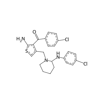 Nc1scc(CN2CCCCC2Nc2ccc(Cl)cc2)c1C(=O)c1ccc(Cl)cc1